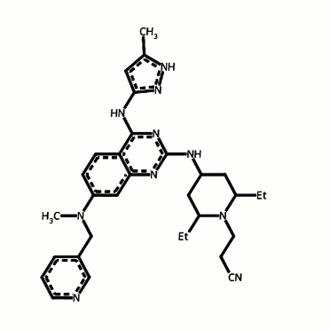 CCC1CC(Nc2nc(Nc3cc(C)[nH]n3)c3ccc(N(C)Cc4cccnc4)cc3n2)CC(CC)N1CCC#N